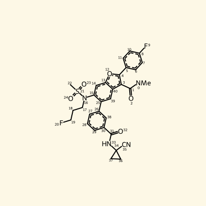 CNC(=O)c1c(-c2ccc(F)cc2)oc2cc(N(CCCF)S(C)(=O)=O)c(-c3cccc(C(=O)NC4(C#N)CC4)c3)cc12